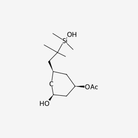 CC(=O)O[C@H]1C[C@@H](O)C[C@@H](CC(C)(C)[Si](C)(C)O)C1